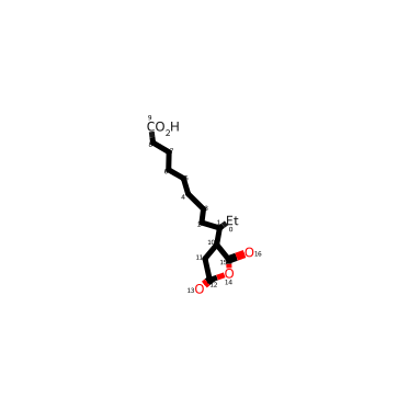 CCC(CCCCCCCC(=O)O)C1CC(=O)OC1=O